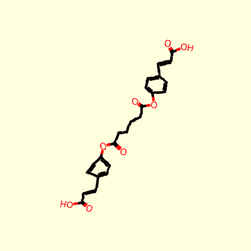 O=C(O)C=Cc1ccc(OC(=O)CCCCC(=O)Oc2ccc(C=CC(=O)O)cc2)cc1